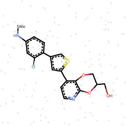 CSNc1ccc(-c2csc(-c3ccnc4c3OCC(CO)O4)c2)c(Cl)c1